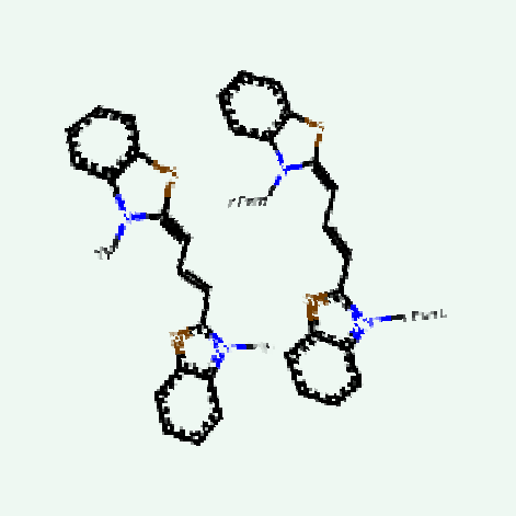 CCCCCN1C(=CC=Cc2sc3ccccc3[n+]2CCCCC)Sc2ccccc21.CCCN1C(=CC=Cc2sc3ccccc3[n+]2CCC)Sc2ccccc21